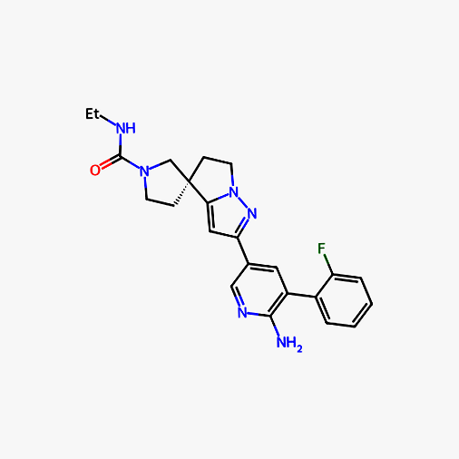 CCNC(=O)N1CC[C@@]2(CCn3nc(-c4cnc(N)c(-c5ccccc5F)c4)cc32)C1